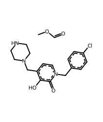 COC=O.O=c1c(O)c(CN2CCNCC2)ccn1Cc1ccc(Cl)cc1